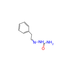 NC(=O)N/N=C\Cc1ccccc1